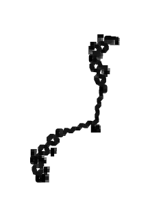 CCOc1ccc(C(F)(F)Oc2ccc(-c3ccc(OCCCCCCCCC(CC)CCCCCCCCOc4ccc(-c5ccc(C(F)(F)Oc6ccc(O)c(F)c6F)cc5F)cc4)cc3F)c(F)c2)c(F)c1F